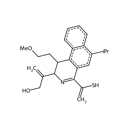 C=C(S)C1=NC(C(=C)CO)C(CCOC)c2c1cc(C(C)C)c1ccccc21